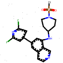 CCS(=O)(=O)N1CCC(Nc2cc(-c3cc(F)nc(F)c3)cc3ccncc23)CC1